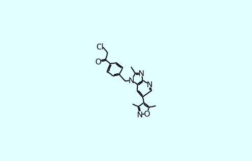 Cc1noc(C)c1-c1cnc2nc(C)n(Cc3ccc(C(=O)CCl)cc3)c2c1